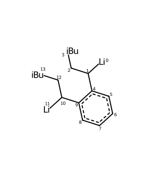 [Li][CH](CC(C)CC)c1ccccc1[CH]([Li])CC(C)CC